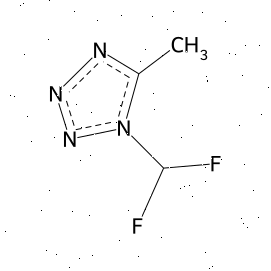 Cc1nnnn1C(F)F